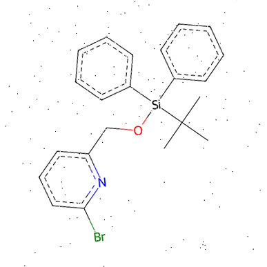 CC(C)(C)[Si](OCc1cccc(Br)n1)(c1ccccc1)c1ccccc1